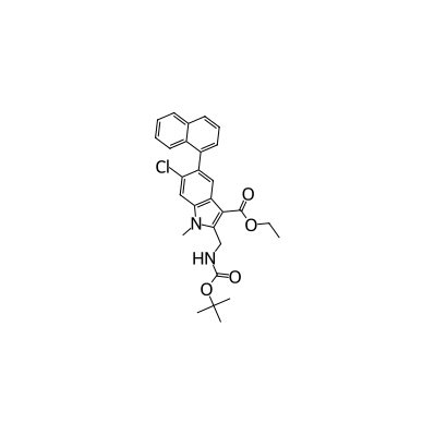 CCOC(=O)c1c(CNC(=O)OC(C)(C)C)n(C)c2cc(Cl)c(-c3cccc4ccccc34)cc12